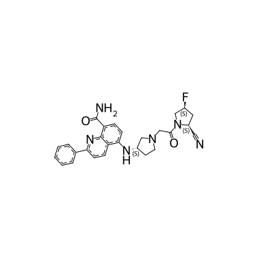 N#C[C@@H]1C[C@H](F)CN1C(=O)CN1CC[C@H](Nc2ccc(C(N)=O)c3nc(-c4ccccc4)ccc23)C1